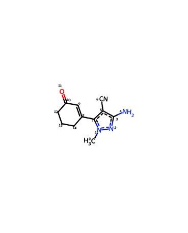 Cn1nc(N)c(C#N)c1C1=CC(=O)CCC1